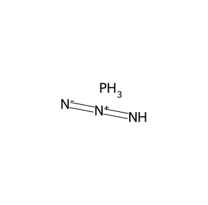 P.[N-]=[N+]=N